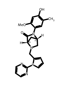 COc1cc(O)c(C)cc1N1C(=O)[C@@H]2C[C@H]1CN2Cc1cccn1-c1ncccn1